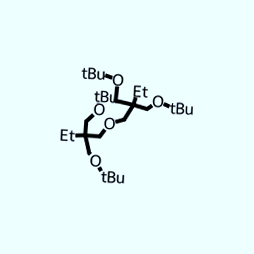 CCC(COCC(CC)(COC(C)(C)C)COC(C)(C)C)(COC(C)(C)C)COC(C)(C)C